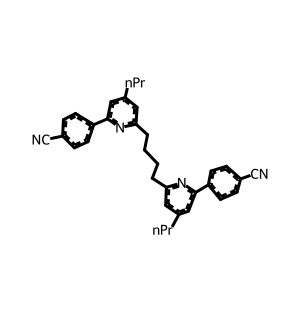 CCCc1cc(CCCCc2cc(CCC)cc(-c3ccc(C#N)cc3)n2)nc(-c2ccc(C#N)cc2)c1